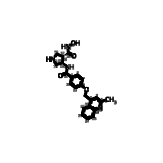 Cc1cc(COc2ccc(C(=O)N[C@H]3CNC[C@@H]3C(=O)NO)cc2)c2ccccc2n1